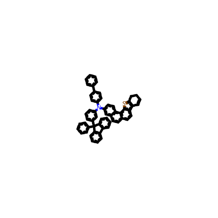 C1=Cc2c(sc3c2ccc2ccc4cc(N(c5ccc(-c6ccccc6)cc5)c5cccc(C6(c7ccccc7)c7ccccc7-c7ccccc76)c5)ccc4c23)CC1